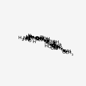 CNC(=O)CSSCCC(=O)N[C@H]1C(O)[C@H](O)C(C(=O)NC[C@H](NC(=O)C[C@H](NC(=O)c2ccc(NCc3cnc4nc(N)[nH]c(=O)c4n3)cc2)C(=O)O)C(=O)O)O[C@H]1OC